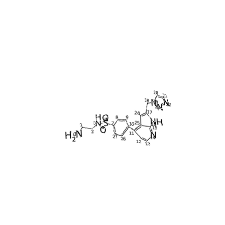 NCCNS(=O)(=O)c1ccc(-c2ccnc3[nH]c(Cn4ccnn4)cc23)cc1